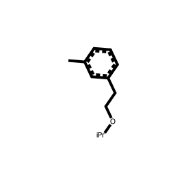 Cc1cccc(CCOC(C)C)c1